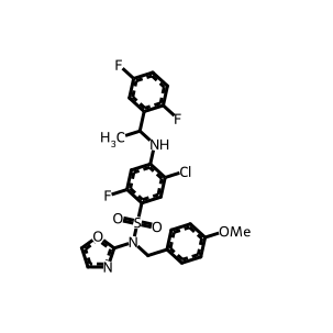 COc1ccc(CN(c2ncco2)S(=O)(=O)c2cc(Cl)c(NC(C)c3cc(F)ccc3F)cc2F)cc1